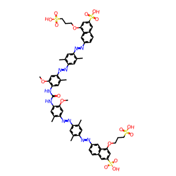 COc1cc(N=Nc2cc(C)c(N=Nc3ccc4cc(S(=O)(=O)O)cc(OCCCS(=O)(=O)O)c4c3)cc2C)c(C)cc1NC(=O)Nc1cc(C)c(N=Nc2cc(C)c(N=Nc3ccc4cc(S(=O)(=O)O)cc(OCCCS(=O)(=O)O)c4c3)cc2C)cc1OC